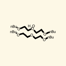 CCCCOCCOCCOCCCC.CCCCOCCOCCOCCCC.O